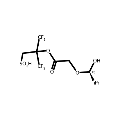 CC(C)[C@H](O)OCC(=O)OC(CS(=O)(=O)O)(C(F)(F)F)C(F)(F)F